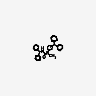 CN(C(=O)NC(c1ccccc1)c1ccccc1)[C@H]1CCN(C(c2ccccc2)c2ccccc2)C1